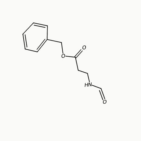 O=CNCCC(=O)OCc1ccccc1